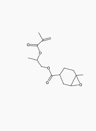 C=C(C)C(=O)OC(C)COC(=O)C1CCC2(C)OC2C1